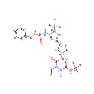 CCN(C(=O)O[C@@H]1CC[C@H](c2cc(NC(=O)OCc3ccccc3)n(C(C)(C)C)n2)C1)N(C)C(=O)OC(C)(C)C